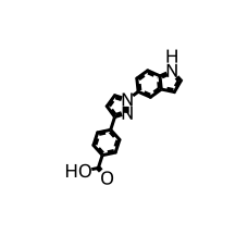 O=C(O)c1ccc(-c2ccn(-c3ccc4[nH]ccc4c3)n2)cc1